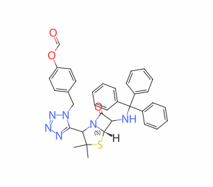 CC1(C)S[C@H]2C(NC(c3ccccc3)(c3ccccc3)c3ccccc3)C(=O)N2C1c1nnnn1Cc1ccc(OC=O)cc1